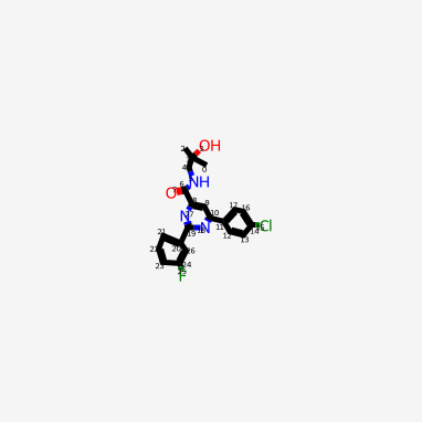 CC(C)(O)CNC(=O)c1cc(-c2ccc(Cl)cc2)nc(-c2cccc(F)c2)n1